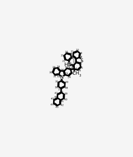 CC1(C2(C)C=Cc3sc4ccccc4c3C2Nc2ccccc2)C=Cc2c(c3ccccc3n2-c2ccc(-c3ccc4ccccc4c3)cc2)C1